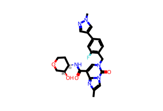 Cc1cn2c(=O)n(Cc3ccc(-c4cnn(C)c4)cc3F)cc(C(=O)N[C@H]3CCOC[C@@H]3O)c2n1